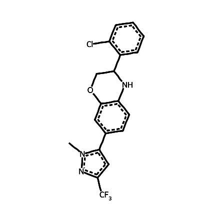 Cn1nc(C(F)(F)F)cc1-c1ccc2c(c1)OCC(c1ccccc1Cl)N2